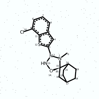 CN1N(c2cc3cccc(Cl)c3s2)NO[C@@]12CC1CCC2CC1